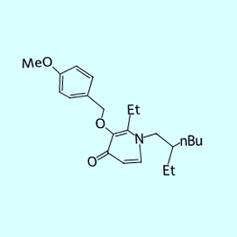 CCCCC(CC)Cn1ccc(=O)c(OCc2ccc(OC)cc2)c1CC